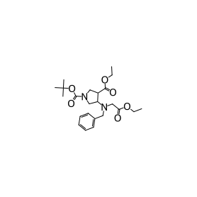 CCOC(=O)CN(Cc1ccccc1)C1CN(C(=O)OC(C)(C)C)CC1C(=O)OCC